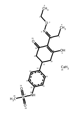 CCON=C(CC)C1=C(O)CC(c2ccc(NS(C)(=O)=O)cc2)CC1=O.[CaH2]